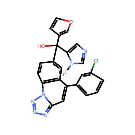 Cn1cncc1C(O)(c1ccoc1)c1ccc2c(c1)c(-c1cccc(Cl)c1)cc1nnnn12